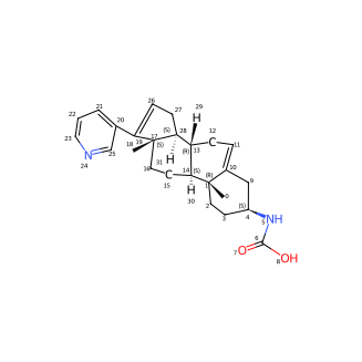 C[C@]12CC[C@H](NC(=O)O)CC1=CC[C@@H]1[C@@H]2CC[C@]2(C)C(c3cccnc3)=CC[C@@H]12